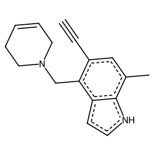 C#Cc1cc(C)c2[nH]ccc2c1CN1CC=CCC1